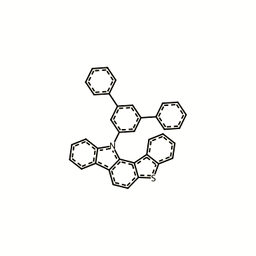 c1ccc(-c2cc(-c3ccccc3)cc(-n3c4ccccc4c4ccc5sc6ccccc6c5c43)c2)cc1